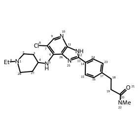 CCN1CCC(Nc2c(Cl)cnc3[nH]c(-c4ccc(CCC(=O)NC)cc4)nc23)CC1